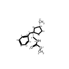 COC(=O)NC[C@@]1(Cc2ccccc2)CC[C@@H](C)C1